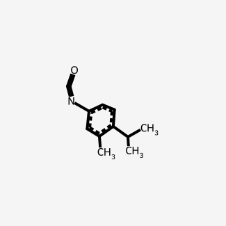 Cc1cc(N=C=O)ccc1C(C)C